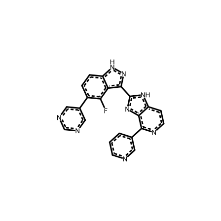 Fc1c(-c2cncnc2)ccc2[nH]nc(-c3nc4c(-c5cccnc5)nccc4[nH]3)c12